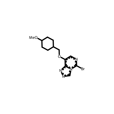 COC1CCC(COc2cnc(Br)n3cnnc23)CC1